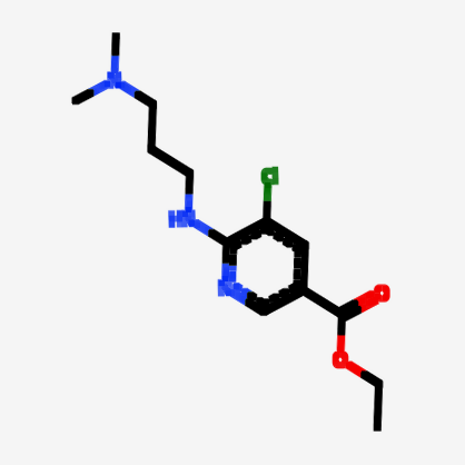 CCOC(=O)c1cnc(NCCCN(C)C)c(Cl)c1